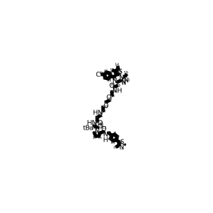 Cc1ncsc1-c1ccc(CNC(=O)C2CCCN2C(=O)C(NC(=O)CCNCCOCCOCCNC(=O)C[C@@H]2N=C(c3ccc(Cl)cc3)c3c(sc(C)c3C)-n3c(C)nnc32)C(C)(C)C)cc1